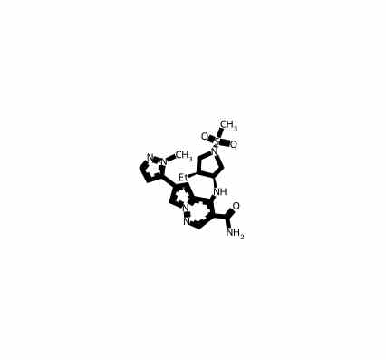 CC[C@H]1CN(S(C)(=O)=O)C[C@H]1Nc1c(C(N)=O)cnn2cc(-c3ccnn3C)cc12